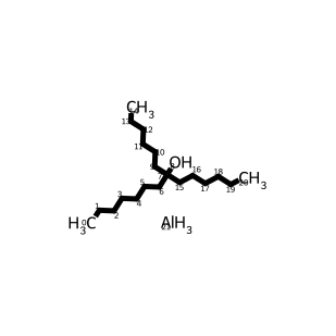 CCCCCCCC(O)(CCCCCC)CCCCCC.[AlH3]